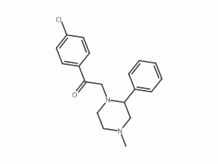 CN1CCN(CC(=O)c2ccc(Cl)cc2)C(c2ccccc2)C1